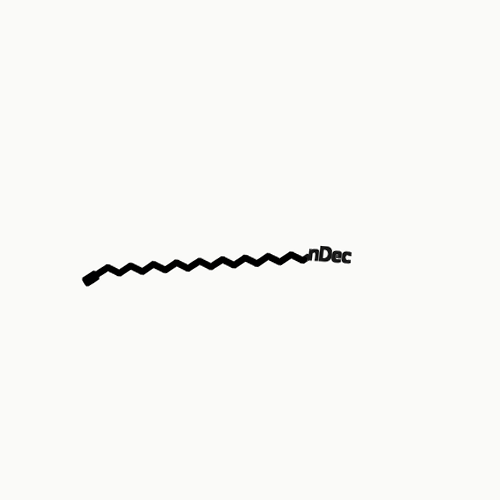 C#CCCCCCCCCCCCCCCCCCCCCCCCCCCCC